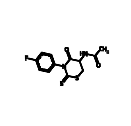 CC(=O)NC1CSC(=S)N(c2ccc(F)cc2)C1=O